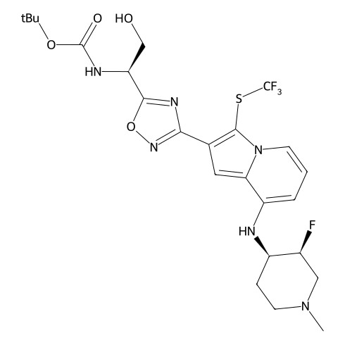 CN1CC[C@@H](Nc2cccn3c(SC(F)(F)F)c(-c4noc([C@H](CO)NC(=O)OC(C)(C)C)n4)cc23)[C@@H](F)C1